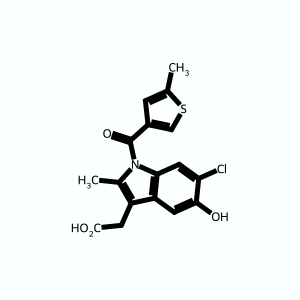 Cc1cc(C(=O)n2c(C)c(CC(=O)O)c3cc(O)c(Cl)cc32)cs1